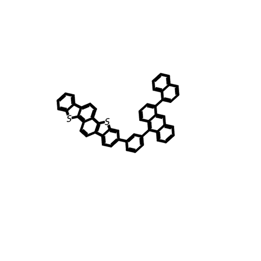 c1cc(-c2ccc3c(c2)sc2c3ccc3c2ccc2c4ccccc4sc23)cc(-c2c3ccccc3cc3c(-c4cccc5ccccc45)cccc23)c1